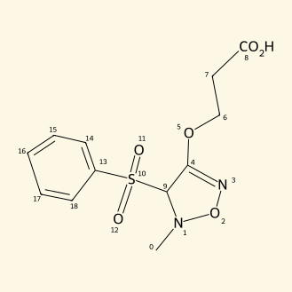 CN1ON=C(OCCC(=O)O)C1S(=O)(=O)c1ccccc1